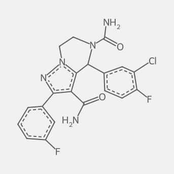 NC(=O)c1c(-c2cccc(F)c2)nn2c1C(c1ccc(F)c(Cl)c1)N(C(N)=O)CC2